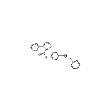 CN(C(=O)c1ccccc1-c1ccccc1)c1ccc(NCCc2ccccn2)cc1